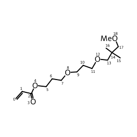 C=CC(=O)OCCCOCCCOCC(C)(C)COC